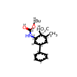 Cc1cc(-c2ccccc2)cc(NC(=O)OC(C)(C)C)c1C(=O)O